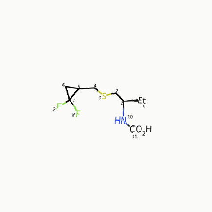 CC[C@H](CSCC1CC1(F)F)NC(=O)O